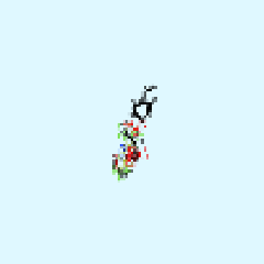 C=Cc1ccc(OS(=O)(=O)C(F)(F)C(F)(F)C(F)(F)S(=O)(O)=NS(=O)(=O)C(F)(F)F)cc1